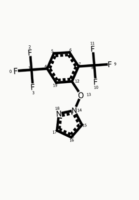 FC(F)(F)c1ccc(C(F)(F)F)c(On2c[c]cn2)c1